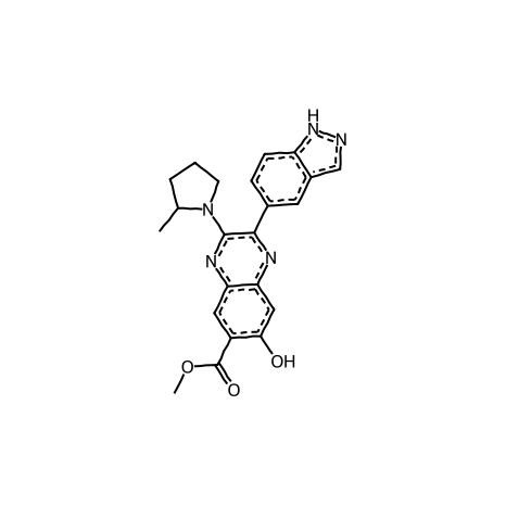 COC(=O)c1cc2nc(N3CCCC3C)c(-c3ccc4[nH]ncc4c3)nc2cc1O